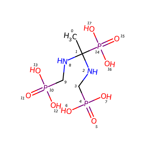 CC(NCP(=O)(O)O)(NCP(=O)(O)O)P(=O)(O)O